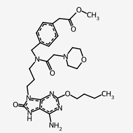 CCCCOc1nc(N)c2[nH]c(=O)n(CCCN(Cc3ccc(CC(=O)OC)cc3)C(=O)CN3CCOCC3)c2n1